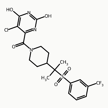 CC(C)(C1CCN(C(=O)c2nc(O)nc(O)c2Cl)CC1)S(=O)(=O)c1cccc(C(F)(F)F)c1